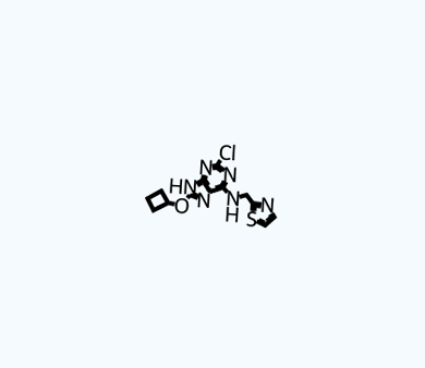 Clc1nc(NCc2nccs2)c2nc(OC3CCC3)[nH]c2n1